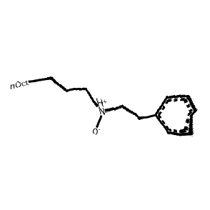 CCCCCCCCCCC[NH+]([O-])CCc1ccccc1